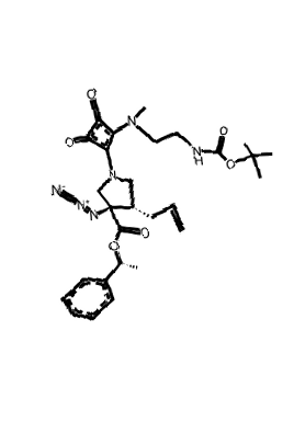 C=CC[C@H]1CN(c2c(N(C)CCNC(=O)OC(C)(C)C)c(=O)c2=O)C[C@@]1(N=[N+]=[N-])C(=O)O[C@H](C)c1ccccc1